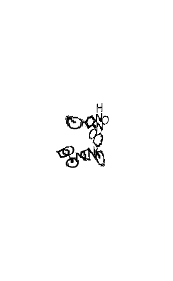 COc1ccc2[nH]c(=O)n(C[C@H]3CC[C@H](C(=O)N4CCN(C(=O)[C@H]5CCCO5)CC4)CC3)c(=O)c2c1